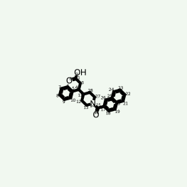 O=C(O)CC(c1ccccc1)C1CCN(C(=O)c2ccc3ccccc3c2)CC1